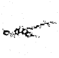 CSc1ncc2cc(-c3c(F)ccc(NS(=O)(=O)N4CC[C@@H](F)C4)c3F)c(=O)n(CCOCCOCCNC(=O)OC(C)(C)C)c2n1